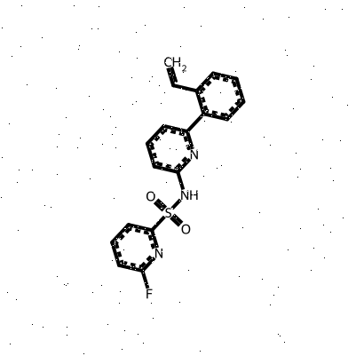 C=Cc1ccccc1-c1cccc(NS(=O)(=O)c2cccc(F)n2)n1